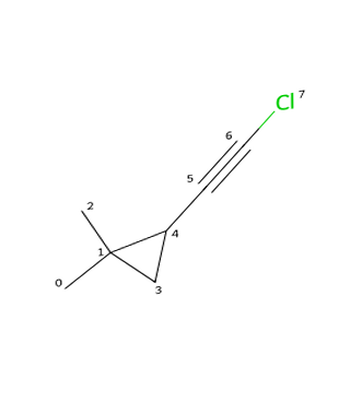 CC1(C)CC1C#CCl